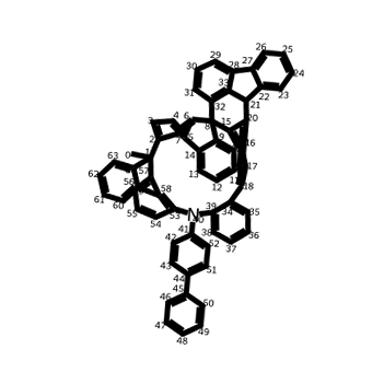 CC12c3ccc4c(c3)C3(c5ccccc5-4)c4ccc(cc4C4c5ccccc5-c5cccc3c54)-c3ccccc3N(c3ccc(-c4ccccc4)cc3)c3cccc1c3-c1ccccc12